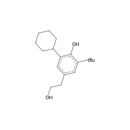 CC(C)(C)c1cc(CCO)cc(C2CCCCC2)c1O